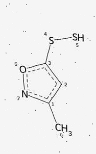 Cc1cc(SS)on1